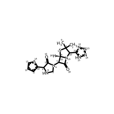 CC1(C)S[C@H]2C(N3CNC(c4cccs4)C3=O)C(=O)N2C1c1nnn[nH]1